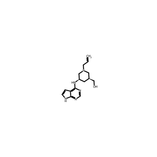 C=CCN1C[C@@H](CO)C[C@@H](Nc2ncnc3[nH]ccc23)C1